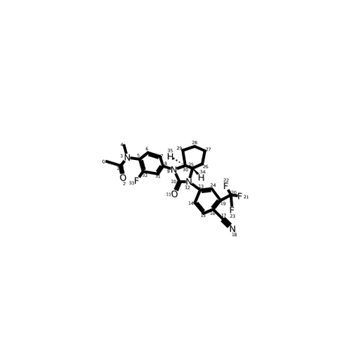 CC(=O)N(C)c1ccc(N2C(=O)N(c3ccc(C#N)c(C(F)(F)F)c3)[C@H]3CCCC[C@@H]32)cc1F